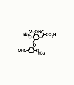 CCCCOc1ccc(C=O)cc1OCc1cc(/C=C(\C#N)C(=O)O)cc(OC)c1OCCCC